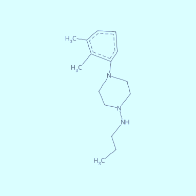 CCCNN1CCN(c2cccc(C)c2C)CC1